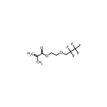 C=C(C)C(=O)OCCOCC(F)(F)C(F)(F)F